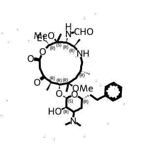 CC[C@H]1OC(=O)CC(=O)[C@H](C)[C@@H](O[C@@H]2O[C@H](CCc3ccccc3)CC(N(C)C)[C@H]2O)[C@](C)(OC)C[C@@H](C)CN[C@H](C)[C@@H](NC=O)[C@]1(C)OC